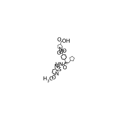 COc1ccc2nc(NC(=O)[C@H](CC3CCCC3)c3ccc(S(=O)(=O)N4CCC(C(=O)O)C4)cc3)sc2n1